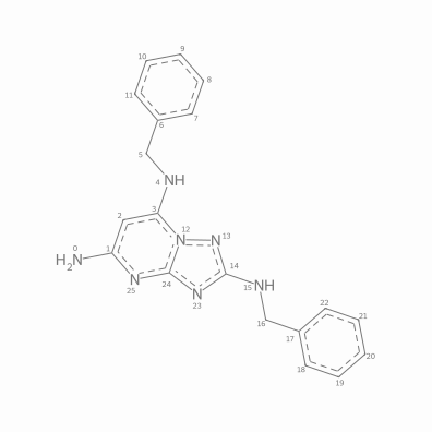 Nc1cc(NCc2ccccc2)n2nc(NCc3ccccc3)nc2n1